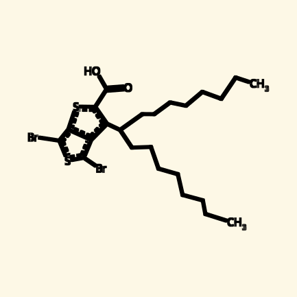 CCCCCCCCC(CCCCCCCC)c1c(C(=O)O)sc2c(Br)sc(Br)c12